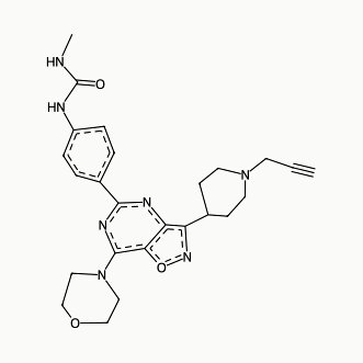 C#CCN1CCC(c2noc3c(N4CCOCC4)nc(-c4ccc(NC(=O)NC)cc4)nc23)CC1